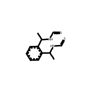 CC(NC=S)c1ccccc1C(C)NC=S